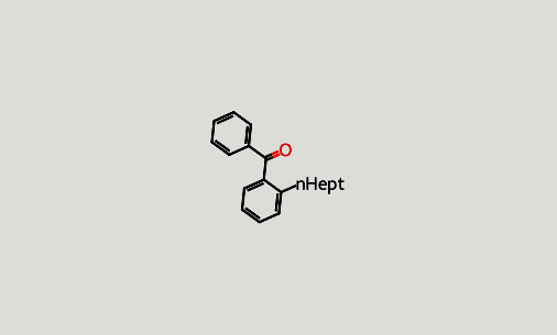 CCCCCCCc1ccccc1C(=O)c1ccccc1